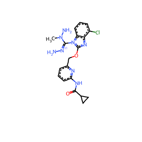 CN(N)/C(=N\N)n1c(OCc2cccc(NC(=O)C3CC3)n2)nc2c(Cl)cccc21